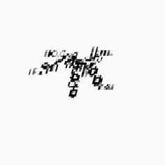 CCCCc1ccc(-c2ccc(C(=O)N[C@@H](CCNC(=O)OC(C)(C)C)C(=O)N[C@@H](Cc3ccc4c(c3)OC(c3ccccc3)O4)C(=O)N[C@@H](C)C(=O)N[C@@H](CCCCNC(=O)OC(C)(C)C)C(=O)O)cc2)cc1